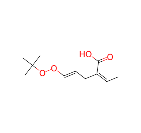 CC=C(CC=COOC(C)(C)C)C(=O)O